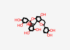 Oc1cc(O)c2c(c1)O[C@@]1(c3ccc(O)c(O)c3)Oc3cc(O)c4c(c3C2[C@H]1O)O[C@H](c1ccc(O)c(O)c1)CC4